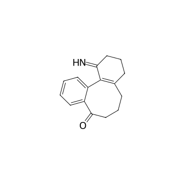 N=C1CCCC2=C1c1ccccc1C(=O)CCC2